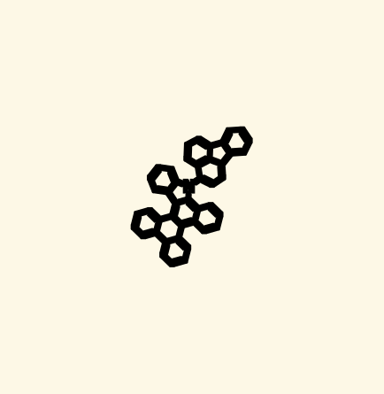 c1ccc2c(c1)-c1cccc3c(-n4c5ccccc5c5c6c7ccccc7c7ccccc7c6c6ccccc6c54)ccc-2c13